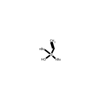 C=C[Si](O)(CCCC)CCCC